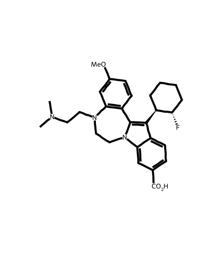 COc1ccc2c(c1)N(CCN(C)C)CCn1c-2c([C@H]2CCCC[C@@H]2F)c2ccc(C(=O)O)cc21